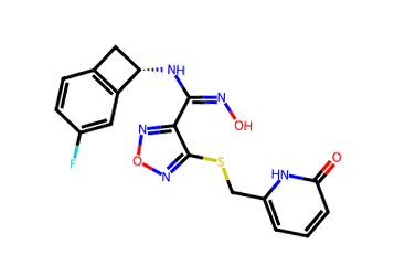 O=c1cccc(CSc2nonc2/C(=N\O)N[C@H]2Cc3ccc(F)cc32)[nH]1